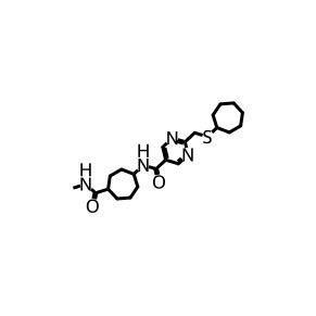 CNC(=O)C1CCCC(NC(=O)c2cnc(CSC3CCCCCC3)nc2)CC1